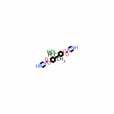 CC(C)(c1ccc(OC(=O)N2CCNCC2)cc1)c1ccc(OC(=O)N2CCNCC2)cc1.Cl.Cl